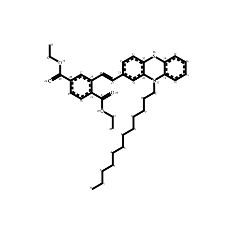 CCCCCCCCCCCCN1c2ccccc2Sc2ccc(C=Cc3cc(C(=O)OCC)ccc3C(=O)OCC)cc21